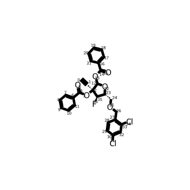 C#C[C@]1(OC(=O)c2ccccc2)C(OC(=O)c2ccccc2)O[C@H](COCc2ccc(Cl)cc2Cl)[C@H]1F